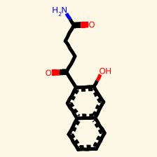 NC(=O)CCC(=O)c1cc2ccccc2cc1O